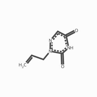 C=CCn1ncc(=O)[nH]c1=O